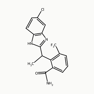 CC(c1nc2cc(Cl)ccc2[nH]1)c1c(C(N)=O)cccc1C(F)(F)F